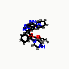 COCOc1ccccc1-c1cc(N2CC3CCC(C2)N3c2ccnc(CCCN3CCNCC3)c2)c(N)nn1